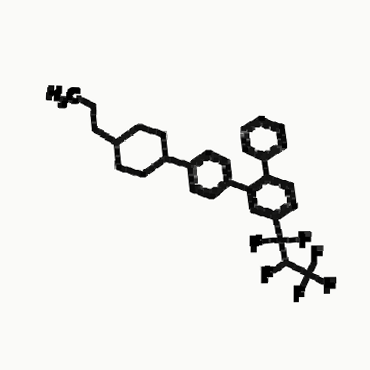 CCCC1CCC(c2ccc(-c3cc(C(F)(F)C(F)C(F)(F)F)ccc3-c3ccccc3)cc2)CC1